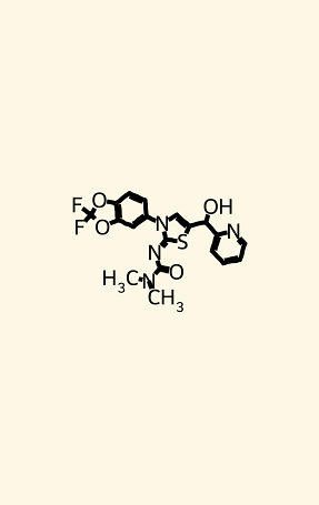 CN(C)C(=O)N=c1sc(C(O)c2ccccn2)cn1-c1ccc2c(c1)OC(F)(F)O2